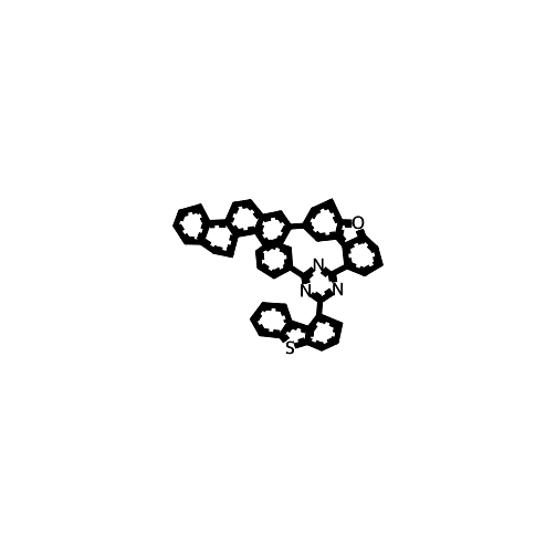 c1ccc(-c2nc(-c3cccc4oc5ccc(-c6ccc7c(ccc8c9ccccc9ccc78)c6)cc5c34)nc(-c3cccc4sc5ccccc5c34)n2)cc1